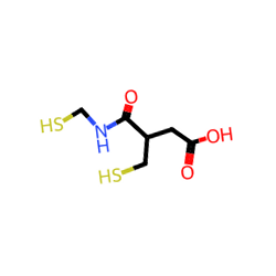 O=C(O)CC(CS)C(=O)NCS